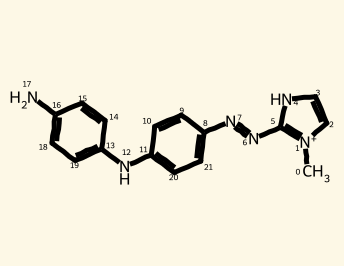 C[n+]1cc[nH]c1/N=N/c1ccc(Nc2ccc(N)cc2)cc1